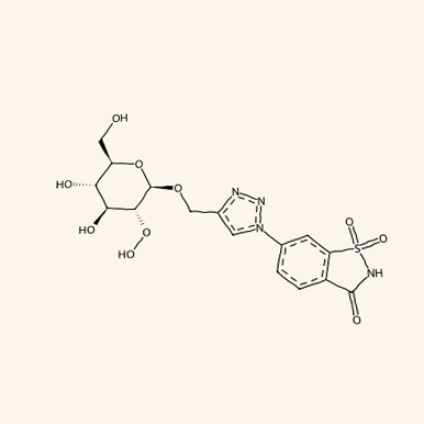 O=C1NS(=O)(=O)c2cc(-n3cc(CO[C@@H]4O[C@H](CO)[C@@H](O)[C@H](O)[C@H]4OO)nn3)ccc21